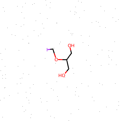 OCC(CO)OCI